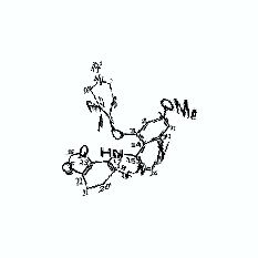 COc1cc(O[C@@H]2CCN(C(C)C)CC2(F)F)c2c(NC3=C(F)CCC4=C3OCO4)ncnc2c1